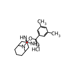 Cc1cc(C)cc(C(=O)OC2CC3CCCC(C2)N3C(=N)N)c1.Cl